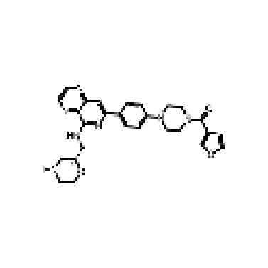 O=C(c1ccoc1)N1CCN(c2ccc(-c3cc4nccnc4c(NC[C@@H]4CNCCO4)n3)cc2)CC1